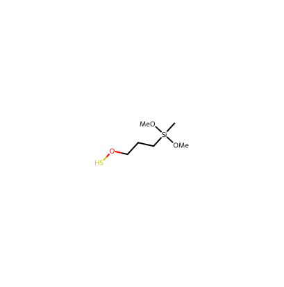 CO[Si](C)(CCCOS)OC